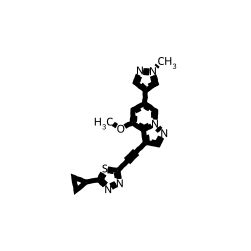 COc1cc(-c2cnn(C)c2)cn2ncc(C#Cc3nnc(C4CC4)s3)c12